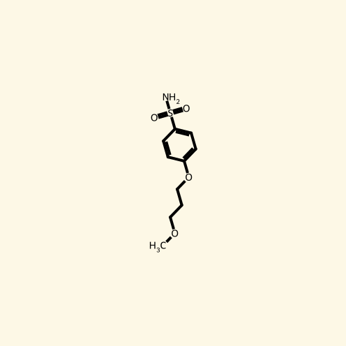 COCCCOc1ccc(S(N)(=O)=O)cc1